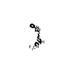 Cn1c(SCCCN2C[C@H]3C[C@@]3(c3ccc(C(F)(F)F)nc3)C2)nnc1-c1ccccc1